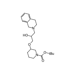 CC(C)(C)OC(=O)N1CCCC(OCC(O)CN2CCc3ccccc3C2)C1